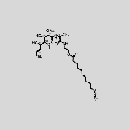 CO[C@@H](C(=O)N[C@@H](C)C(=O)NCCOC(=O)CCCCCCCCCN=[N+]=[N-])[C@H](O)[C@@H](O)[C@H](O)/C=C/C(C)(C)C